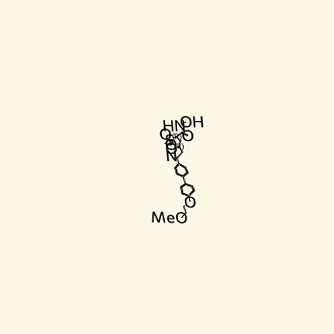 COCCOc1ccc(-c2ccc(C3=NO[C@@H](C[C@](C)(C(=O)NO)S(C)(=O)=O)C3)cc2)cc1